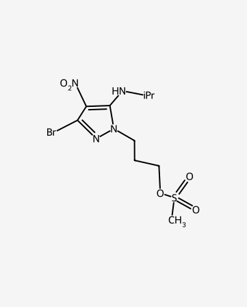 CC(C)Nc1c([N+](=O)[O-])c(Br)nn1CCCOS(C)(=O)=O